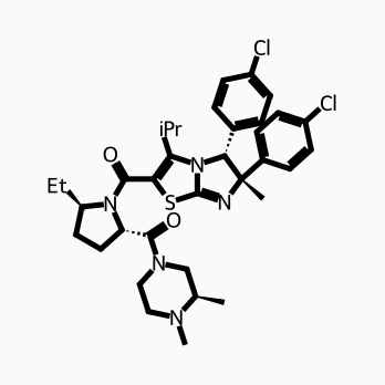 CC[C@@H]1CC[C@@H](C(=O)N2CCN(C)[C@H](C)C2)N1C(=O)C1=C(C(C)C)N2C(=N[C@@](C)(c3ccc(Cl)cc3)[C@H]2c2ccc(Cl)cc2)S1